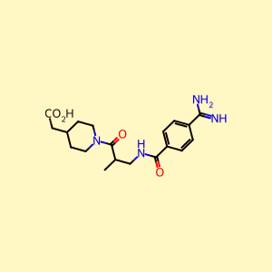 CC(CNC(=O)c1ccc(C(=N)N)cc1)C(=O)N1CCC(CC(=O)O)CC1